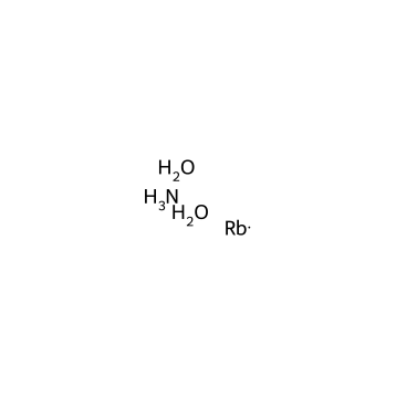 N.O.O.[Rb]